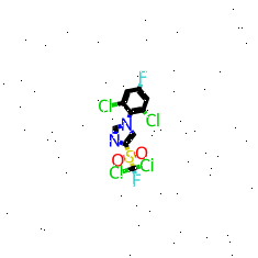 O=S(=O)(c1cn(-c2c(Cl)cc(F)cc2Cl)cn1)C(F)(Cl)Cl